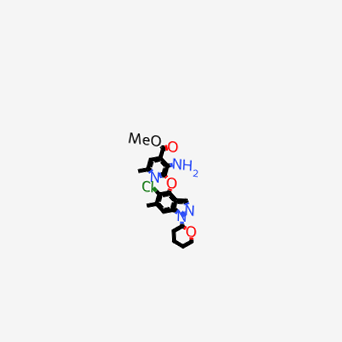 COC(=O)c1cc(C)nc(Oc2c(Cl)c(C)cc3c2cnn3C2CCCCO2)c1N